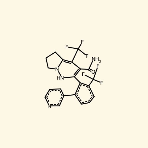 NC(=O)C1=C(c2c(-c3cccnc3)cccc2C(F)(F)F)NN2CCCC2=C1C(F)(F)F